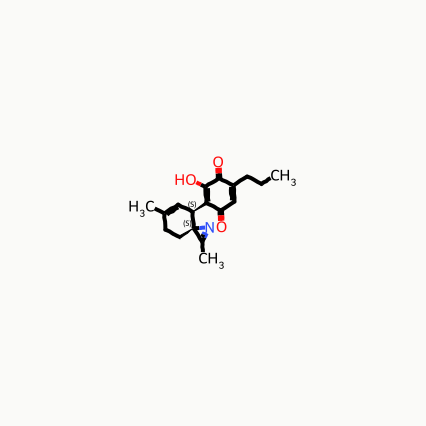 CCCC1=CC(=O)C([C@@H]2C=C(C)CC[C@]23N=C3C)=C(O)C1=O